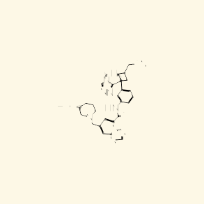 C[C@H]1CCCN(Cc2cc(C(=O)Nc3cccc(C4(c5nncn5C)CC(CC#N)C4)c3)n3ncnc3c2)C1